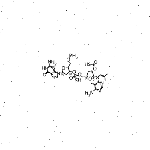 CC(C)=CN(c1ncnc(N)c1C)[C@@H]1O[C@H](CO[P@@](=O)(S)O[C@H]2C[C@H](n3cnc4c(=O)[nH]c(N)nc43)OC2COP)C[C@H]1OC(=O)S